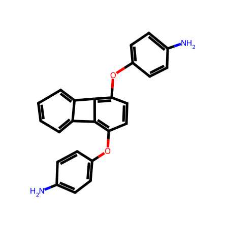 Nc1ccc(Oc2ccc(Oc3ccc(N)cc3)c3c2-c2ccccc2-3)cc1